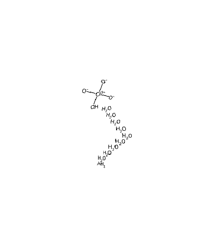 O.O.O.O.O.O.O.O.O.[AlH3].[O-][Cl+3]([O-])([O-])O